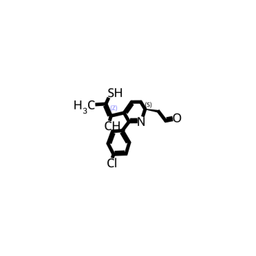 C/C(S)=C(\C)C1=CC[C@@H](CC=O)N=C1c1ccc(Cl)cc1